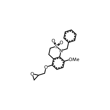 COc1ccc(OCC2CO2)c2c1N(Cc1ccccc1)S(=O)(=O)CC2